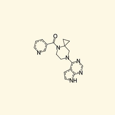 O=C(c1cccnc1)N1CCN(c2ncnc3[nH]ccc23)CC12CC2